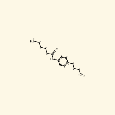 CCCCc1ccc(NC(=O)CCCCN)cc1